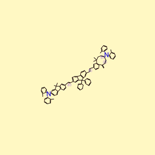 C=C1/C=C\C(N(c2ccccc2C)c2ccccc2C)=C/CC(C)(C)c2cc(/C=C/c3ccc4c(c3)C(C3=CC=CCC3)(c3ccccc3)c3cc(/C=C/c5ccc6c(c5)C(C)(C)c5cc(N(c7ccccc7C)c7ccccc7C)ccc5-6)ccc3-4)ccc21